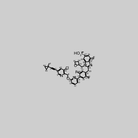 CC1(C#Cc2cnc(COc3cccc(-c4cc(F)c(Cc5nc6c(F)cc(C(=O)O)cc6n5CC5CCO5)cc4F)n3)c(Cl)c2)CC1